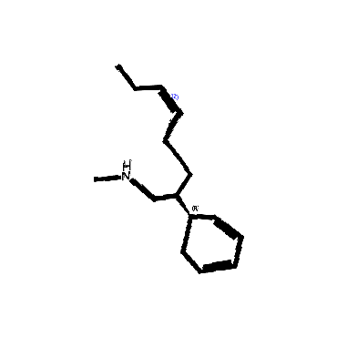 CC/C=C\CCC(CNC)[C@H]1C=CC=CC1